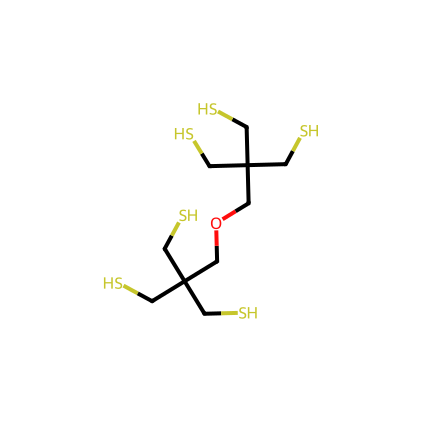 SCC(CS)(CS)COCC(CS)(CS)CS